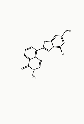 COc1cc(Cl)c2nc(-c3cccc4c(=O)n(C)cnc34)sc2c1